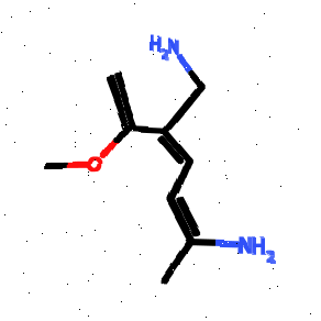 C=C(OC)/C(=C\C=C(\C)N)CN